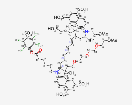 CCCC1CC(/C=C/C=C/C=C/C=C2/N(CCCCCC(=O)Oc3c(F)c(F)c(S(=O)(=O)O)c(F)c3F)c3ccc4c(S(=O)(=O)O)cc(S(=O)(=O)O)cc4c3C2(C)CCOCCOCCOCCOC)C(C)(CCCS(=O)(=O)O)c2c(ccc3c(S(=O)(=O)O)cc(S(=O)(=O)O)cc23)N1CCOC